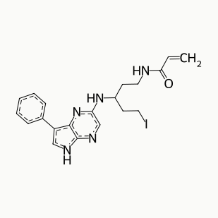 C=CC(=O)NCCC(CCI)Nc1cnc2[nH]cc(-c3ccccc3)c2n1